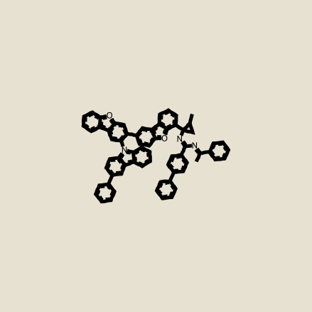 C/C(=N\C(=N/C1(c2cccc3c2oc2ccc(-c4cc5oc6ccccc6c5cc4-n4c5ccccc5c5cc(-c6ccccc6)ccc54)cc23)CC1C)c1ccc(-c2ccccc2)cc1)c1ccccc1